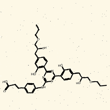 CCCOCC(O)Cc1ccc(-c2nc(Nc3ccc(CCC(=O)O)cc3)nc(-c3ccc(CC(O)COCCC)cc3O)n2)c(O)c1